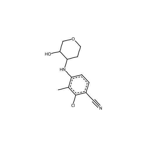 Cc1c(NC2CCOCC2O)ccc(C#N)c1Cl